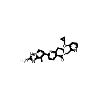 Cc1c(-c2ccc3c(n2)CCN(Cc2ncccc2OC2CC2)C3=O)ccn2nc(N)nc12